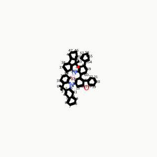 CC1(C)c2cc3ccccc3cc2N2c3cc4oc5ccccc5c4c4c3B(c3cccc1c32)N(c1cccc2c1C(C)(C)c1ccccc1-2)c1cc(-c2ccccc2)ccc1-4